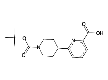 CC(C)(C)OC(=O)N1CCC(c2cccc(C(=O)O)n2)CC1